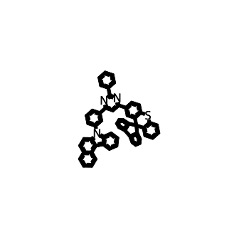 c1ccc(-c2nc(-c3cccc(-n4c5ccccc5c5c6ccccc6ccc54)c3)cc(-c3ccc4c(c3)C3(c5ccccc5S4)c4ccccc4-c4ccccc43)n2)cc1